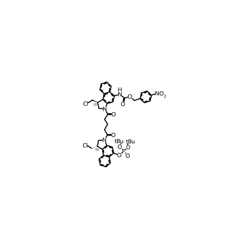 CC(C)(C)OP(=O)(Oc1cc2c(c3ccccc13)[C@H](CCl)CN2C(=O)CCCC(=O)N1C[C@@H](CCl)c2c1cc(NC(=O)OCc1ccc([N+](=O)[O-])cc1)c1ccccc21)OC(C)(C)C